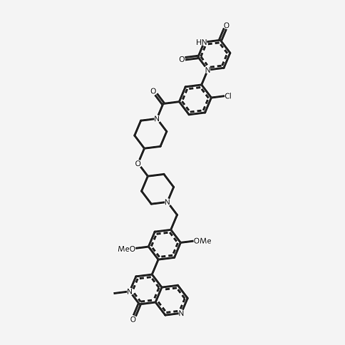 COc1cc(-c2cn(C)c(=O)c3cnccc23)c(OC)cc1CN1CCC(OC2CCN(C(=O)c3ccc(Cl)c(-n4ccc(=O)[nH]c4=O)c3)CC2)CC1